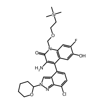 C[Si](C)(C)CCOCn1c(=O)c(N)c(-c2ccc(Cl)c3nn(C4CCCCO4)cc23)c2cc(O)c(F)cc21